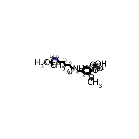 COc1cc(CNC(=O)CCCC/C=C\C(C)C)ccc1OS(=O)(=O)O